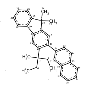 CCC(C)(CC)c1cc2c(cc1-c1ccc3ccccc3n1)C(C)(C)c1ccccc1-2